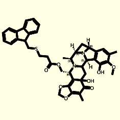 COc1c(C)cc2c(c1O)[C@H]1C3CC4(O)C(=O)C(C)=C5OCOC5=C4[C@H](COC(=O)CCSCC4c5ccccc5-c5ccccc54)N3[C@@H](C)[C@H]3C[C@H]2N31